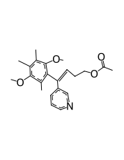 COc1c(C)c(C)c(OC)c(C(=CCCOC(C)=O)c2cccnc2)c1C